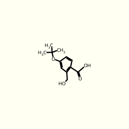 CC(C)(C)Oc1ccc(C(=O)O)c(CO)c1